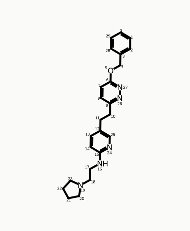 c1ccc(COc2ccc(CCc3ccc(NCCN4CCCC4)nc3)nn2)cc1